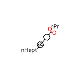 CCCCCCCC12CCC(C3CCC(C(=O)OCCC)CC3)(CC1)CC2